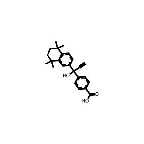 C#CC(O)(c1ccc(C(=O)O)cc1)c1ccc2c(c1)C(C)(C)CCC2(C)C